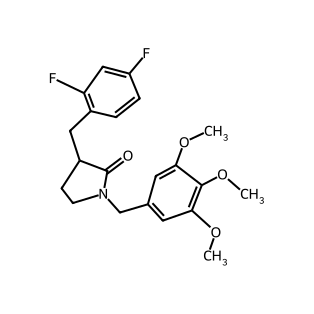 COc1cc(CN2CCC(Cc3ccc(F)cc3F)C2=O)cc(OC)c1OC